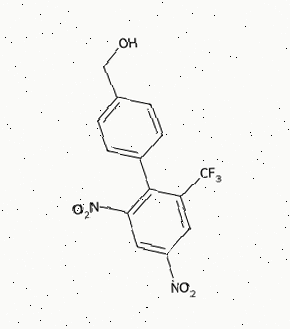 O=[N+]([O-])c1cc([N+](=O)[O-])c(-c2ccc(CO)cc2)c(C(F)(F)F)c1